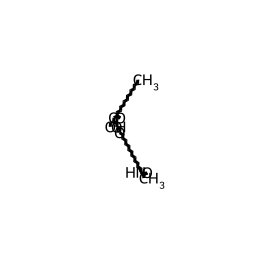 CCCCCCCCCCCCCC(=O)O[C@H](CO)COCOCCCCCCCCCCCCCNC(C)=O